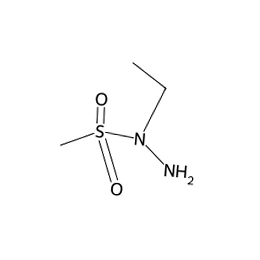 CCN(N)S(C)(=O)=O